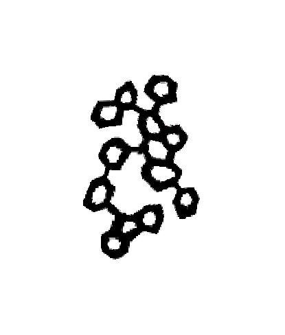 c1ccc(-c2ccc(N(c3cccc(-c4cccc(-n5c6ccccc6c6ccccc65)c4)c3)c3ccc(-c4ccccc4)c(-c4cccc5ccccc45)c3)c(-c3ccccc3)c2)cc1